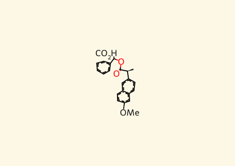 COc1ccc2cc([C@H](C)C(=O)OC(C(=O)O)c3ccccc3)ccc2c1